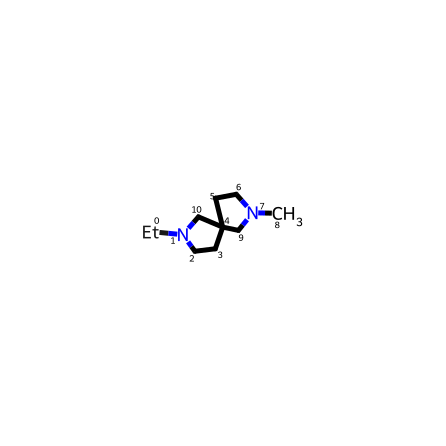 CCN1CCC2(CCN(C)C2)C1